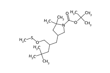 CSOCC(CC1CN(C(=O)OC(C)(C)C)C(C)(C)C1)CC(C)(C)C